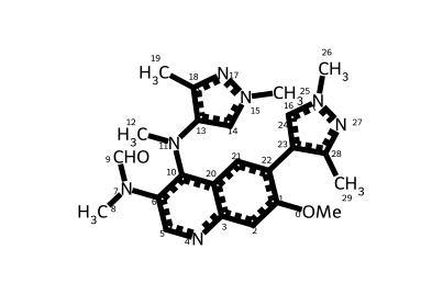 COc1cc2ncc(N(C)C=O)c(N(C)c3cn(C)nc3C)c2cc1-c1cn(C)nc1C